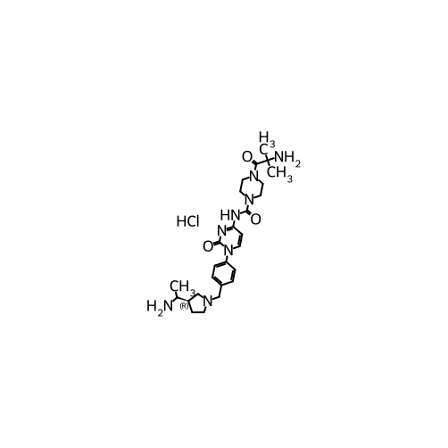 CC(N)[C@@H]1CCN(Cc2ccc(-n3ccc(NC(=O)N4CCN(C(=O)C(C)(C)N)CC4)nc3=O)cc2)C1.Cl